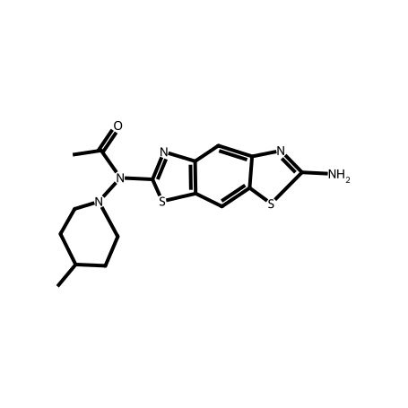 CC(=O)N(c1nc2cc3nc(N)sc3cc2s1)N1CCC(C)CC1